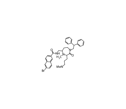 CNCCCC1C(=O)N(CC(c2ccccc2)c2ccccc2)CCC(CNC(=O)c2ccc3cc(Br)ccc3c2)N1C